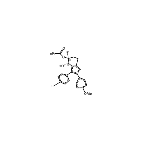 CCCC(=O)O[C@@]1(Br)CCc2nn(-c3ccc(OC)cc3)c(-c3ccc(Cl)cc3)c2[C@@H]1O